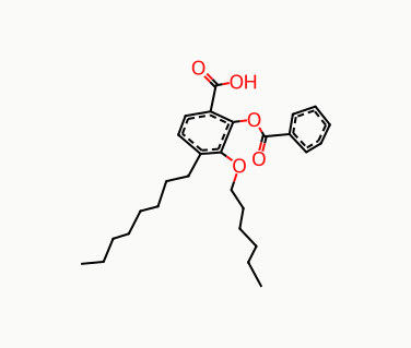 CCCCCCCCc1ccc(C(=O)O)c(OC(=O)c2ccccc2)c1OCCCCCC